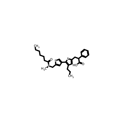 CCCCCCC(=O)N(C)Cc1cc(-c2sc(CC(C(=O)O)c3ccccc3)cc2CCC)cs1